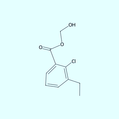 CCc1cccc(C(=O)OCO)c1Cl